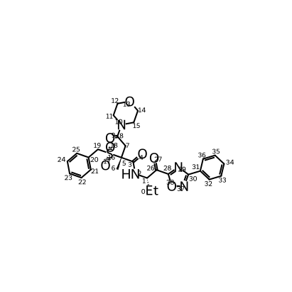 CC[C@H](NC(=O)[C@@](C)(CC(=O)N1CCOCC1)S(=O)(=O)Cc1ccccc1)C(=O)c1nc(-c2ccccc2)no1